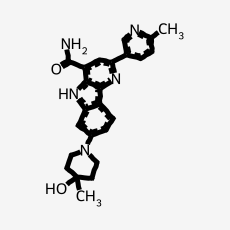 Cc1ccc(-c2cc(C(N)=O)c3[nH]c4cc(N5CCC(C)(O)CC5)ccc4c3n2)cn1